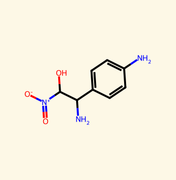 Nc1ccc(C(N)C(O)[N+](=O)[O-])cc1